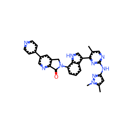 Cc1cnc(Nc2cc(C)n(C)n2)nc1-c1c[nH]c2c(N3Cc4cc(-c5ccncc5)cnc4C3=O)cccc12